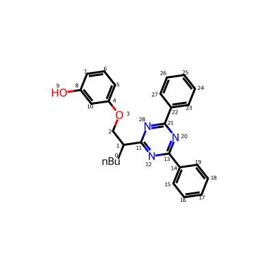 CCCCC(COc1cccc(O)c1)c1nc(-c2ccccc2)nc(-c2ccccc2)n1